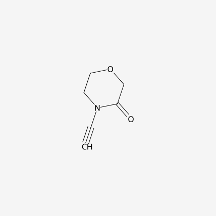 C#CN1CCOCC1=O